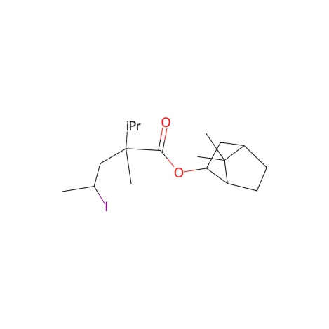 CC(I)CC(C)(C(=O)OC1CC2CCC1C2(C)C)C(C)C